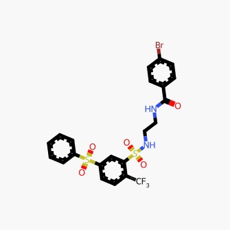 O=C(NCCNS(=O)(=O)c1cc(S(=O)(=O)c2ccccc2)ccc1C(F)(F)F)c1ccc(Br)cc1